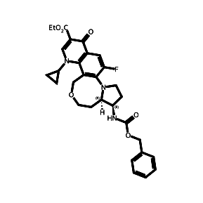 CCOC(=O)c1cn(C2CC2)c2c3c(c(F)cc2c1=O)N1CC[C@@H](NC(=O)OCc2ccccc2)[C@H]1CCOC3